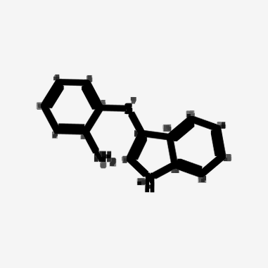 Nc1ccccc1Sc1c[nH]c2ccccc12